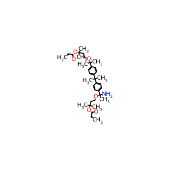 C=CC(=O)OC(C)(C)CCOC(C)(C)c1ccc(C(C)(C)c2ccc(C(C)(N)OCCC(C)(C)OC(=O)C=C)cc2)cc1